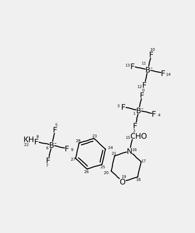 F[B-](F)(F)F.F[B-](F)(F)F.F[B-](F)(F)F.O=CN1CCOCC1.[KH].c1ccccc1